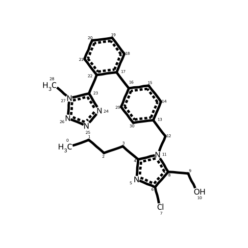 CCCCc1nc(Cl)c(CO)n1Cc1ccc(-c2ccccc2-c2nnnn2C)cc1